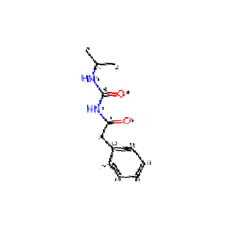 CC(C)NC(=O)NC(=O)Cc1ccccc1